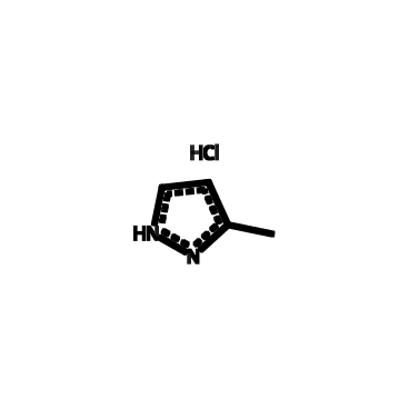 Cc1cc[nH]n1.Cl